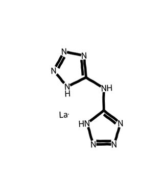 [La].n1n[nH]c(Nc2nnn[nH]2)n1